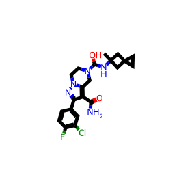 CC1(NC(O)N2CCn3nc(-c4ccc(F)c(Cl)c4)c(C(N)=O)c3C2)CC2(CC2)C1